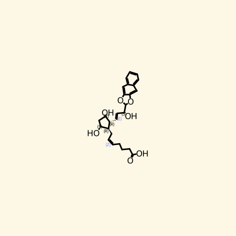 O=C(O)CCC/C=C\C[C@@H]1[C@@H](/C=C/[C@H](O)C2Oc3cc4ccccc4cc3O2)[C@H](O)C[C@@H]1O